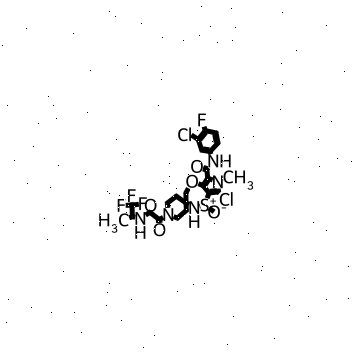 CC(NC(=O)C(=O)N1CCC2(CC1)COc1c(c(Cl)n(C)c1C(=O)Nc1ccc(F)c(Cl)c1)[S+]([O-])N2)C(F)(F)F